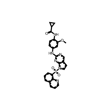 COc1cc(Nc2ncc3ccn(S(=O)(=O)c4cccc5cccnc45)c3n2)ccc1NC(=O)C1CC1